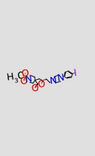 CS(=O)(=O)N1CCC2(CC1)C[C@@H](CCN1CCN(c3ccc(I)cc3)CC1)OC2=O